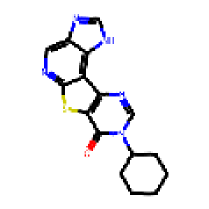 O=c1c2sc3ncc4nc[nH]c4c3c2ncn1C1CCCCC1